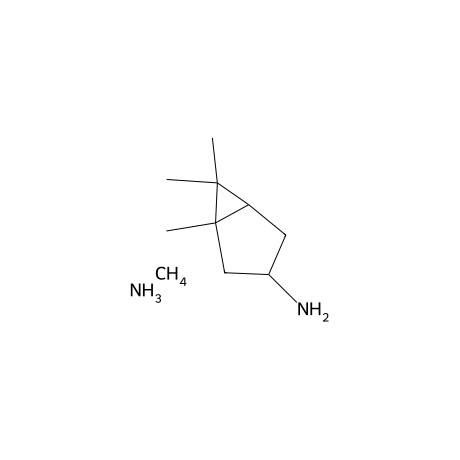 C.CC1(C)C2CC(N)CC21C.N